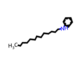 CCCCCCCCCCCCCNc1ccccc1